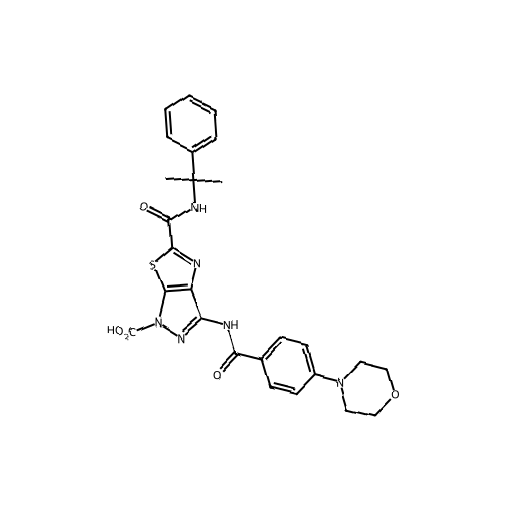 CC(C)(NC(=O)c1nc2c(NC(=O)c3ccc(N4CCOCC4)cc3)nn(C(=O)O)c2s1)c1ccccc1